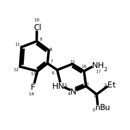 CCCCC(CC)C1=NNC(c2cc(Cl)ccc2F)C=C1N